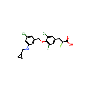 O=C(O)C(F)Cc1cc(Cl)c(OCc2cc(Cl)cc(NCC3CC3)c2)c(Cl)c1